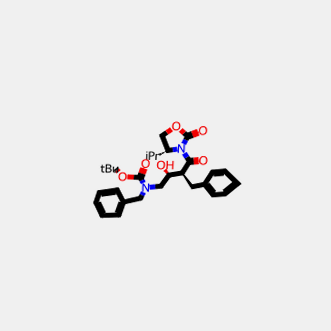 CC(C)[C@@H]1COC(=O)N1C(=O)[C@@H](Cc1ccccc1)[C@H](O)CN(Cc1ccccc1)C(=O)OC(C)(C)C